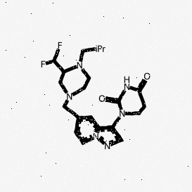 CC(C)CN1CCN(Cc2ccn3ncc(N4CCC(=O)NC4=O)c3c2)CC1C(F)F